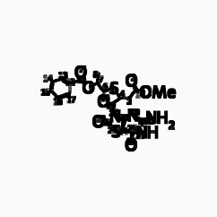 COC(=O)CC1SC(C(C)OC(=O)c2ccccc2)OC1n1c(=O)sc2c(=O)[nH]c(N)nc21